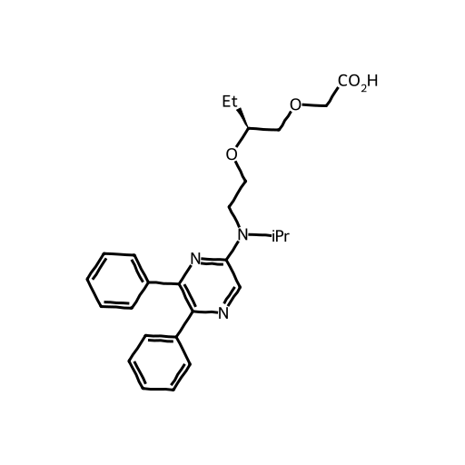 CC[C@@H](COCC(=O)O)OCCN(c1cnc(-c2ccccc2)c(-c2ccccc2)n1)C(C)C